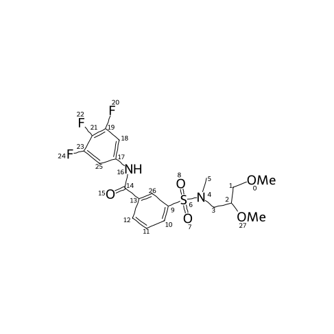 COCC(CN(C)S(=O)(=O)c1cccc(C(=O)Nc2cc(F)c(F)c(F)c2)c1)OC